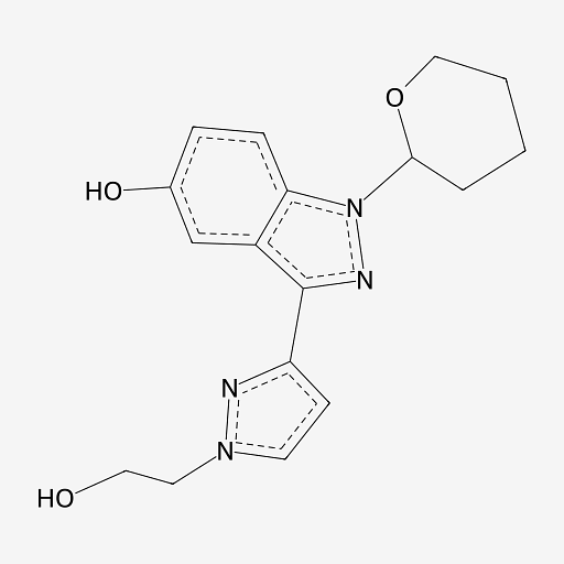 OCCn1ccc(-c2nn(C3CCCCO3)c3ccc(O)cc23)n1